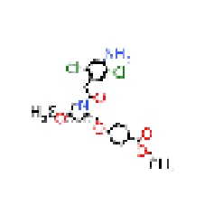 CCOC(=O)[C@H]1CC[C@H](OC[C@@H]2C[C@H](OC)CN2C(=O)Cc2cc(Cl)c(N)cc2Cl)CC1